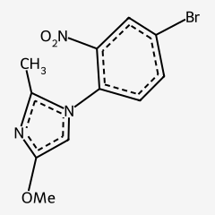 COc1cn(-c2ccc(Br)cc2[N+](=O)[O-])c(C)n1